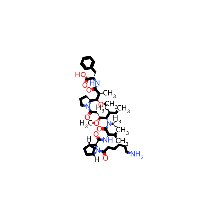 CC[C@H](C)[C@@H]([C@@H](CC(=O)N1CCC[C@H]1[C@H](OC)[C@@H](C)C(=O)N[C@@H](Cc1ccccc1)C(=O)O)OC)N(C)C(=O)[C@@H](NC(=O)[C@@H]1[C@H]2CC[C@H](C2)N1C(=O)CCCCCN)C(C)C